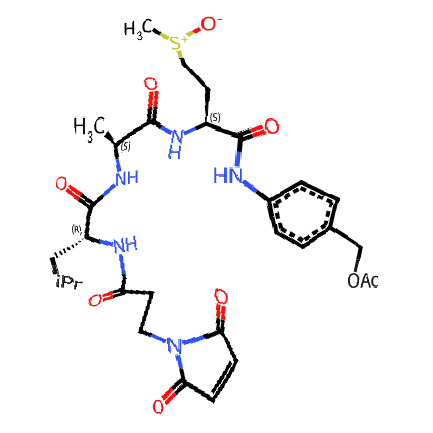 CC(=O)OCc1ccc(NC(=O)[C@H](CC[S+](C)[O-])NC(=O)[C@H](C)NC(=O)[C@@H](CC(C)C)NC(=O)CCN2C(=O)C=CC2=O)cc1